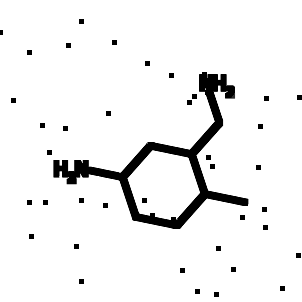 CC1CCC(N)CC1CN